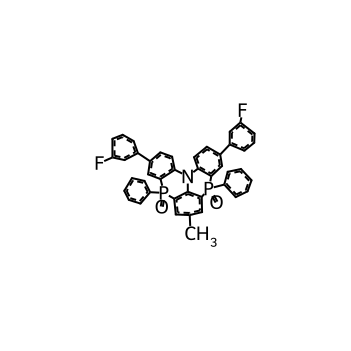 Cc1cc2c3c(c1)P(=O)(c1ccccc1)c1cc(-c4cccc(F)c4)ccc1N3c1ccc(-c3cccc(F)c3)cc1P2(=O)c1ccccc1